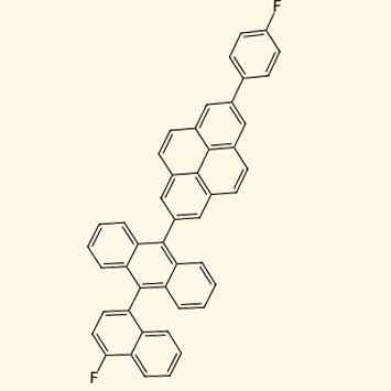 Fc1ccc(-c2cc3ccc4cc(-c5c6ccccc6c(-c6ccc(F)c7ccccc67)c6ccccc56)cc5ccc(c2)c3c45)cc1